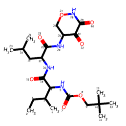 CCC(C)C(NC(=O)OCC(C)(C)C)C(=O)NC(CC(C)C)C(=O)NC1CONC(=O)C1=O